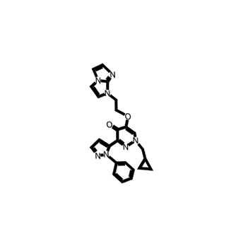 O=c1c(OCCn2ccn3ccnc23)cn(CC2CC2)nc1-c1ccnn1-c1ccccc1